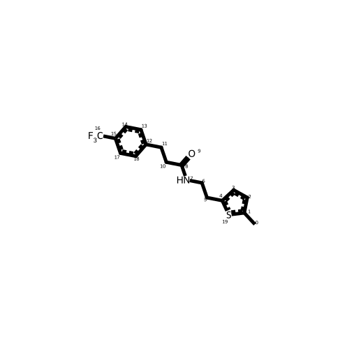 Cc1ccc(CCNC(=O)CCc2ccc(C(F)(F)F)cc2)s1